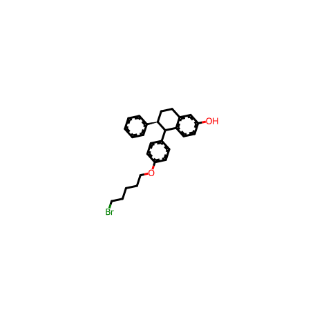 Oc1ccc2c(c1)CC[C@H](c1ccccc1)C2c1ccc(OCCCCCBr)cc1